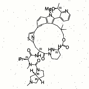 CCn1c(-c2cccnc2[C@H](C)OC)c2c3cc(ccc31)-c1csc(n1)C[C@H](NC(=O)[C@H](C(C)C)N(C)C(=O)N1CC[C@@H]3CN(C)C[C@@H]31)C(=O)N1CCC[C@H](N1)C(=O)OCC(C)(C)C2